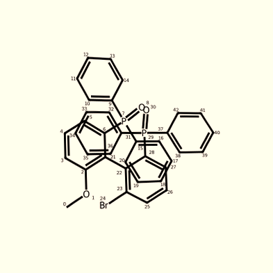 COc1cccc(P(=O)(c2ccccc2)c2ccccc2)c1-c1c(Br)cccc1P(=O)(c1ccccc1)c1ccccc1